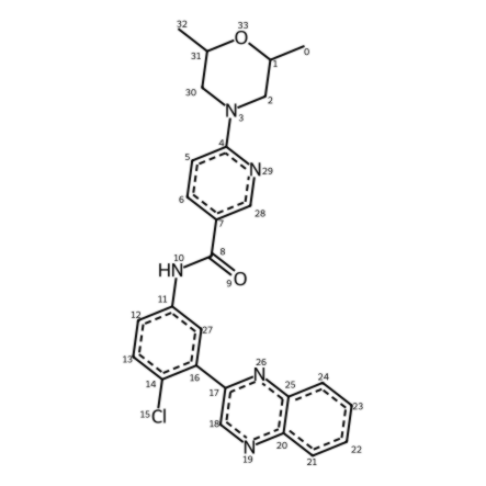 CC1CN(c2ccc(C(=O)Nc3ccc(Cl)c(-c4cnc5ccccc5n4)c3)cn2)CC(C)O1